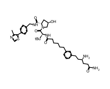 Cc1ncsc1-c1ccc(CNC(=O)[C@@H]2C[C@@H](O)CN2C(=O)[C@@H](NC(=O)CCCCCc2cccc(CC[C@@H](N)CCC(N)=O)c2)C(C)(C)C)cc1